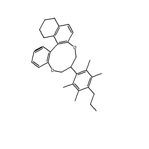 CCCc1c(C)c(C)c(C2COc3ccc4c(c3-c3c(ccc5c3CCCC5)OC2)CCCC4)c(C)c1C